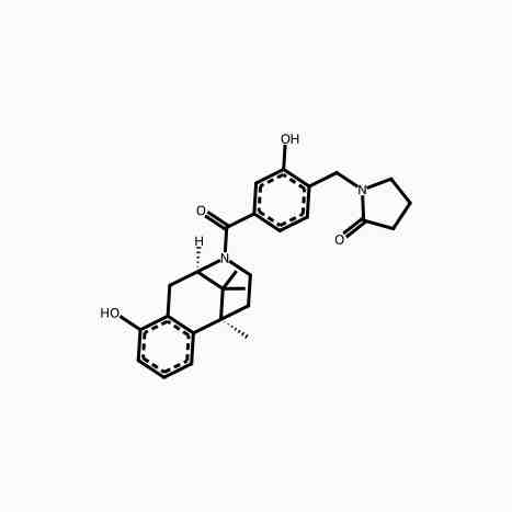 CC1(C)[C@H]2Cc3c(O)cccc3[C@]1(C)CCN2C(=O)c1ccc(CN2CCCC2=O)c(O)c1